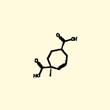 C[C@@]1(C(=O)O)C=CC[C@H](C(=O)O)CC1